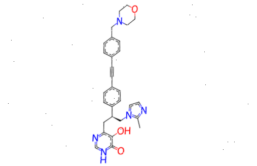 Cc1nccn1C[C@@H](Cc1nc[nH]c(=O)c1O)c1ccc(C#Cc2ccc(CN3CCOCC3)cc2)cc1